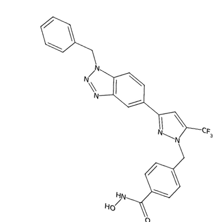 O=C(NO)c1ccc(Cn2nc(-c3ccc4c(c3)nnn4Cc3ccccc3)cc2C(F)(F)F)cc1